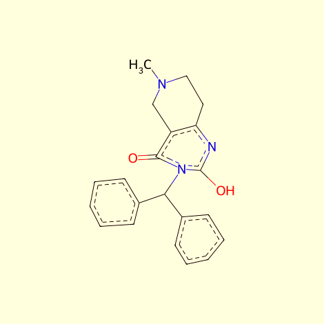 CN1CCc2nc(O)n(C(c3ccccc3)c3ccccc3)c(=O)c2C1